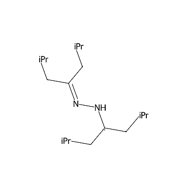 CC(C)C[C](CC(C)C)NN=C(CC(C)C)CC(C)C